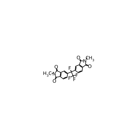 CN1C(=O)c2ccc(C(F)(c3ccc4c(c3)C(=O)N(C)C4=O)C(F)(F)F)cc2C1=O